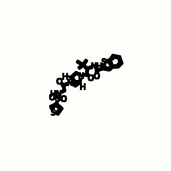 CC(C)(C)C(NC(=O)c1cc2ccccc2s1)C(=O)N1C[C@@H]2C[C@H]1CN2C(=O)CNS(=O)(=O)c1ccsc1